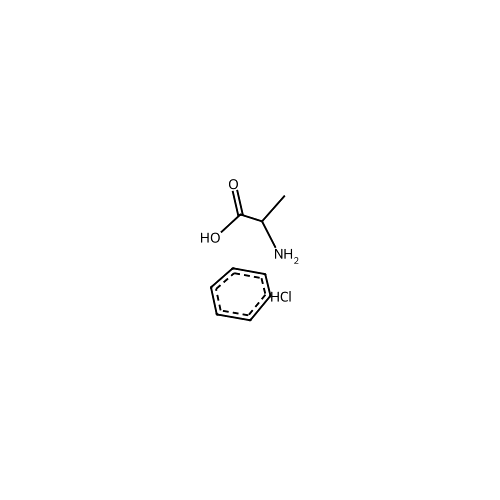 CC(N)C(=O)O.Cl.c1ccccc1